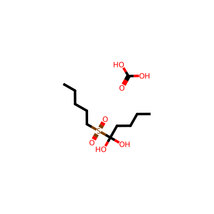 CCCCCS(=O)(=O)C(O)(O)CCCC.O=C(O)O